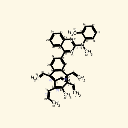 C=CC1=C(\C=C)c2cc(-c3nc(N(C)c4ccccc4C)nc4ccccc34)ccc2/C(C=C)=C(C=C)/C(/C=C\C)=C\1C